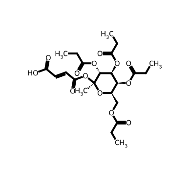 CCC(=O)OC[C@H]1O[C@@](C)(OC(=O)/C=C/C(=O)O)[C@H](OC(=O)CC)[C@@H](OC(=O)CC)[C@H]1OC(=O)CC